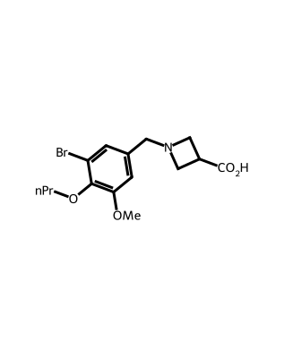 CCCOc1c(Br)cc(CN2CC(C(=O)O)C2)cc1OC